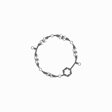 O=C1c2ccc(cc2)Oc2ccc(cc2)Oc2ccc(cc2)C(=O)c2ccc(cc2)Oc2ccc(cc2)Oc2ccc1cc2